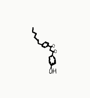 CCCCCCc1ccc(C(=O)CC(=O)c2ccc(O)cc2)cc1